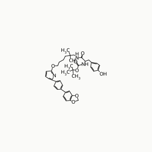 CC(C)(CCCCOc1cccc(-c2ccc(-c3ccc4c(c3)OCO4)cc2)n1)CNC(=O)C(Cc1ccc(O)cc1)NC(=O)OC(C)(C)C